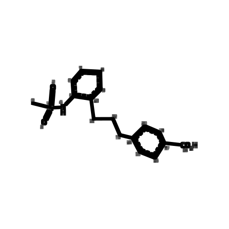 CS(=O)(=O)Nc1ccccc1CCCc1ccc(C(=O)O)cc1